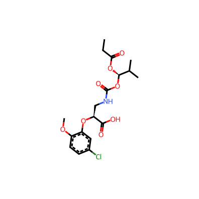 CCC(=O)O[C@H](OC(=O)NC[C@H](Oc1cc(Cl)ccc1OC)C(=O)O)C(C)C